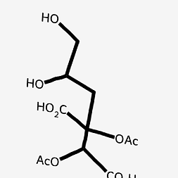 CC(=O)OC(C(=O)O)C(CC(O)CO)(OC(C)=O)C(=O)O